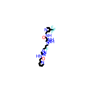 O=C(Cc1ccccn1)Nc1cn(CC(F)CCN2C=C(C(=O)NCc3cc(C(F)(F)F)ccn3)NN2)nn1